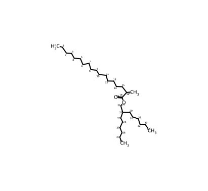 CCCCCCCCCCCCCCCCC(C)C(=O)OCC(CCCCCC)CCCCCC